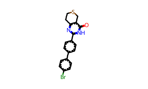 O=c1[nH]c(-c2ccc(-c3ccc(Br)cc3)cc2)nc2c1CSCC2